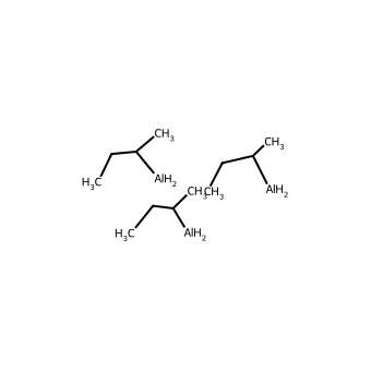 CC[CH](C)[AlH2].CC[CH](C)[AlH2].CC[CH](C)[AlH2]